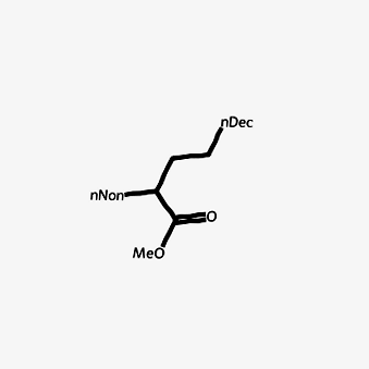 CCCCCCCCCCCCC(CCCCCCCCC)C(=O)OC